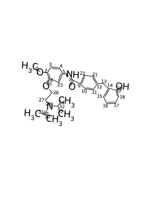 COc1ccc(NC(=O)c2ccc(Cc3ccccc3O)cc2)cc1OCCN(C(C)C)C(C)C